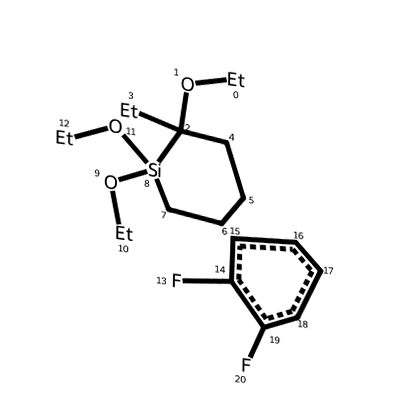 CCOC1(CC)CCCC[Si]1(OCC)OCC.Fc1ccccc1F